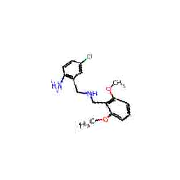 COc1cccc(OC)c1CNCc1cc(Cl)ccc1N